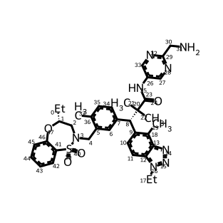 CC[C@@H]1CN(Cc2cc([C@@H](c3ccc4c(nnn4CC)c3C)C(C)(C)C(=O)Nc3cnc(CN)nc3)ccc2C)S(=O)(=O)c2ccccc2O1